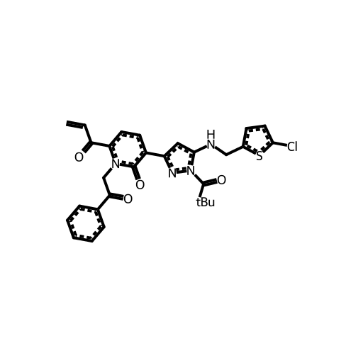 C=CC(=O)c1ccc(-c2cc(NCc3ccc(Cl)s3)n(C(=O)C(C)(C)C)n2)c(=O)n1CC(=O)c1ccccc1